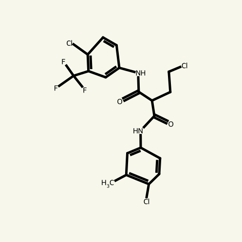 Cc1cc(NC(=O)C(CCCl)C(=O)Nc2ccc(Cl)c(C(F)(F)F)c2)ccc1Cl